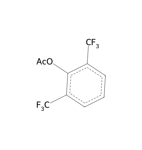 CC(=O)Oc1c(C(F)(F)F)cccc1C(F)(F)F